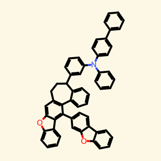 c1ccc(-c2ccc(N(c3ccccc3)c3cccc(C4CCc5cc6oc7ccccc7c6c(-c6ccc7c(c6)oc6ccccc67)c5-c5ccccc54)c3)cc2)cc1